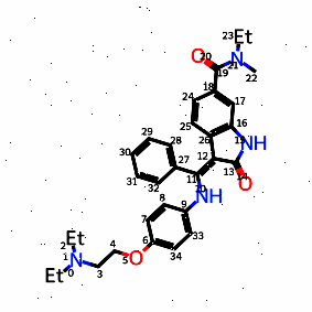 CCN(CC)CCOc1ccc(N/C(=C2\C(=O)Nc3cc(C(=O)N(C)CC)ccc32)c2ccccc2)cc1